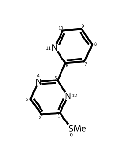 CSc1ccnc(-c2ccccn2)n1